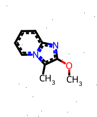 COc1nc2ccccn2c1C